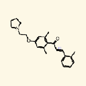 Cc1ccccc1/C=C/C(=O)c1c(C)cc(OCCN2CCCC2)cc1C